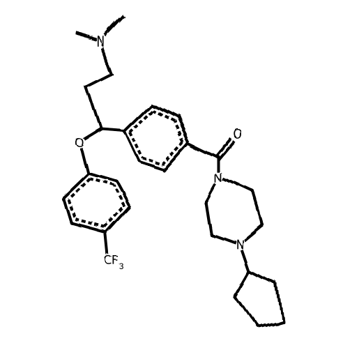 CN(C)CCC(Oc1ccc(C(F)(F)F)cc1)c1ccc(C(=O)N2CCN(C3CCCC3)CC2)cc1